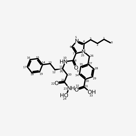 CCCCc1ncc(C(=O)N[C@H](CCc2ccccc2)CC(=O)NO)n1Cc1ccc(C(=O)O)cc1